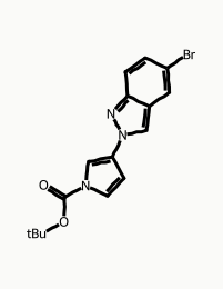 CC(C)(C)OC(=O)n1ccc(-n2cc3cc(Br)ccc3n2)c1